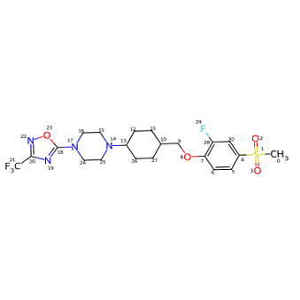 CS(=O)(=O)c1ccc(OCC2CCC(N3CCN(c4nc(C(F)(F)F)no4)CC3)CC2)c(F)c1